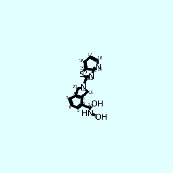 ONC(O)c1cccc2c1CN(c1nc3ncccc3s1)C2